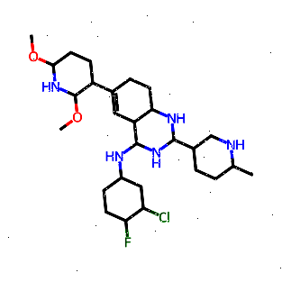 COC1CCC(C2=CC3C(CC2)NC(C2CCC(C)NC2)NC3NC2CCC(F)C(Cl)C2)C(OC)N1